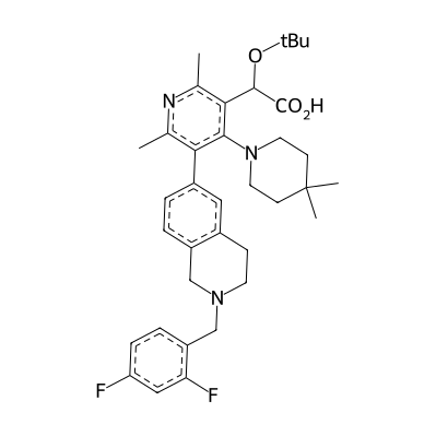 Cc1nc(C)c(C(OC(C)(C)C)C(=O)O)c(N2CCC(C)(C)CC2)c1-c1ccc2c(c1)CCN(Cc1ccc(F)cc1F)C2